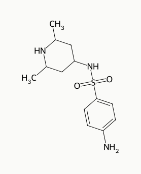 CC1CC(NS(=O)(=O)c2ccc(N)cc2)CC(C)N1